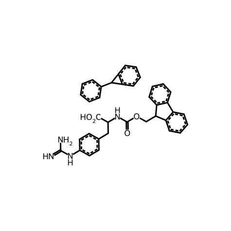 N=C(N)Nc1ccc(CC(NC(=O)OCC2c3ccccc3-c3ccccc32)C(=O)O)cc1.c1ccc(C2c3ccccc32)cc1